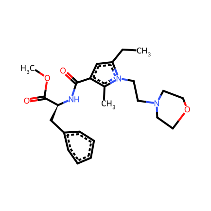 CCc1cc(C(=O)N[C@@H](Cc2ccccc2)C(=O)OC)c(C)n1CCN1CCOCC1